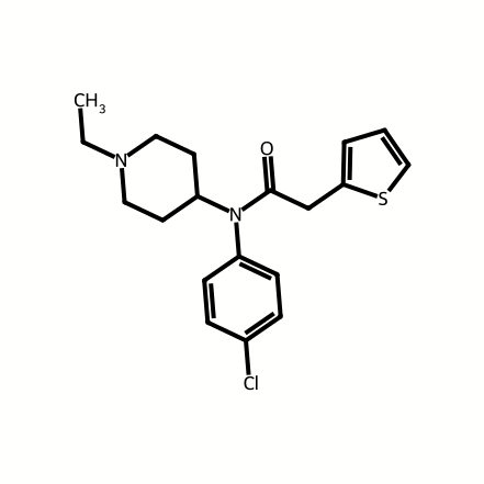 CCN1CCC(N(C(=O)Cc2cccs2)c2ccc(Cl)cc2)CC1